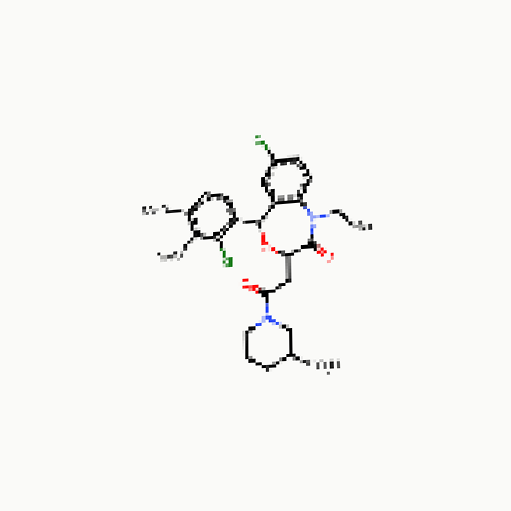 COc1ccc(C2OC(CC(=O)N3CCCC(C(=O)O)C3)C(=O)N(CC(C)(C)C)c3ccc(Cl)cc32)c(Cl)c1OC